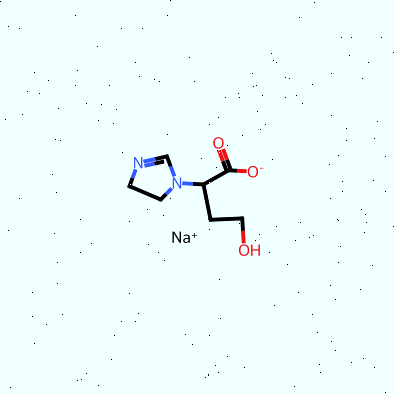 O=C([O-])C(CCO)N1C=NCC1.[Na+]